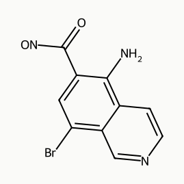 Nc1c(C(=O)N=O)cc(Br)c2cnccc12